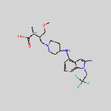 COCC(CN1CCC(Nc2cccc3c2cc(I)n3CC(F)(F)F)CC1)[C@H](C)C(=O)O